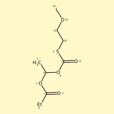 CCC(=O)OC(C)OC(=O)SCCOI